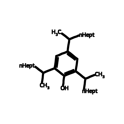 CCCCCCCC(C)c1cc(C(C)CCCCCCC)c(O)c(C(C)CCCCCCC)c1